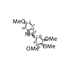 COc1ccc(C=Cc2cc(OC)c(OC)c(OC)c2)c(N)c1